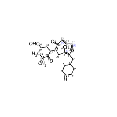 C\C1=C(CC2CCNCC2)/N=C\C=C\C(=O)N(C(CCC=O)C(=O)N(C)C)C1